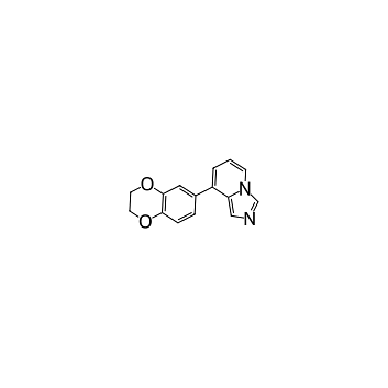 c1cc(-c2ccc3c(c2)OCCO3)c2cncn2c1